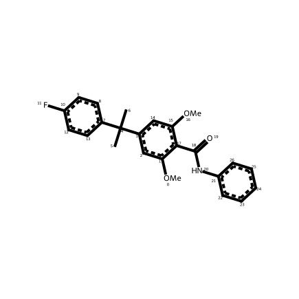 COc1cc(C(C)(C)c2ccc(F)cc2)cc(OC)c1C(=O)Nc1ccccc1